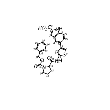 O=C(O)c1cc2cc(-c3csc(NC(=O)C4CCCN4C(=O)OCc4ccccc4)n3)ccc2[nH]1